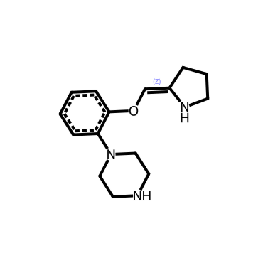 C(/Oc1ccccc1N1CCNCC1)=C1\CCCN1